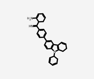 N=C(c1ccc(-c2ccc3c(c2)c2c(n3C3C=CC=CC3)CCC=C2)cc1)C1CC=CC=C1N